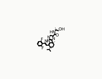 CC(C)[C@H]1CC[C@](C)(c2cncc(C(=O)N[C@H](C)CO)n2)c2nnc(-c3c(F)cccc3F)cc21